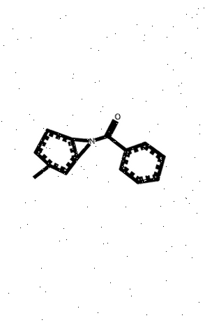 Cc1ccc2c(c1)N2C(=O)c1ccccc1